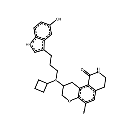 N#Cc1ccc2[nH]cc(CCCN(C3CCC3)C3COc4c(F)cc5c(c4C3)C(=O)NCC5)c2c1